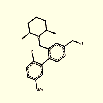 COc1ccc(F)c(-c2ccc(CCl)cc2CN2[C@H](C)CCC[C@@H]2C)c1